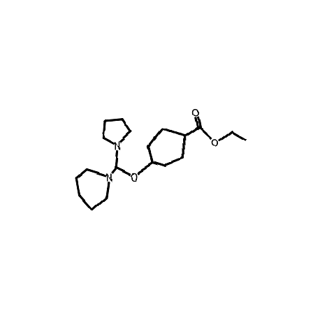 CCOC(=O)C1CCC(OC(N2CCCCC2)N2CCCC2)CC1